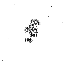 CC(C)NCCNC(=O)c1cnccc1Nc1nc(-c2cc(Cl)ccc2F)ncc1N1CCCC1